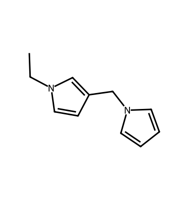 CCn1ccc(Cn2cccc2)c1